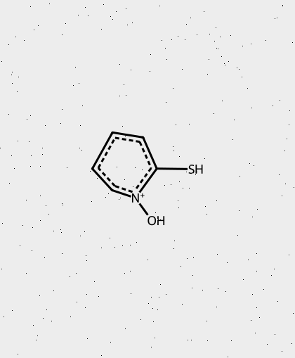 O[n+]1ccccc1S